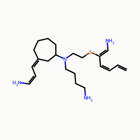 C=C/C=C\C(=C\N)SCCN(CCCCN)C1CCCC/C(=C/C=C\N)C1